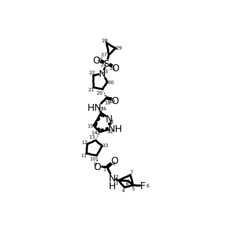 O=C(NC12CC(F)(C1)C2)O[C@@H]1CC[C@H](c2cc(NC(=O)[C@@H]3CCN(S(=O)(=O)C4CC4)C3)n[nH]2)C1